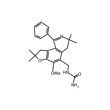 COc1c(CNC(N)=O)c2c(c3c1OC(C)(C)C3)C(c1ccccc1)=NC(C)(C)C2